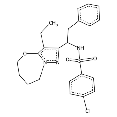 CCc1c(C(Cc2ccccc2)NS(=O)(=O)c2ccc(Cl)cc2)nn2c1OCCCC2